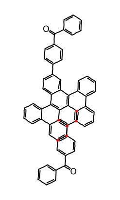 O=C(c1ccccc1)c1ccc(-c2ccc3c(-c4ccccc4-c4ccccc4)c4cc(-c5ccc(C(=O)c6ccccc6)cc5)ccc4c(-c4ccccc4-c4ccccc4)c3c2)cc1